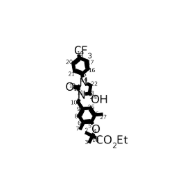 CCOC(=O)C(C)(C)Oc1c(C)cc(CN2C(=O)N(c3ccc(C(F)(F)F)cc3)CC2O)cc1C